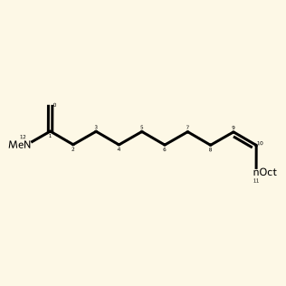 C=C(CCCCCCC/C=C\CCCCCCCC)NC